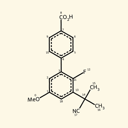 COc1cc(-c2ccc(C(=O)O)cc2)c(F)c(C(C)(C)C#N)c1